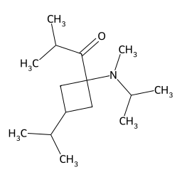 CC(C)C(=O)C1(N(C)C(C)C)CC(C(C)C)C1